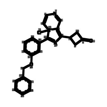 O=C1CC(C2=C3C=NC=C[N+]3(Cl)C(c3cccc(OCc4ccccc4)c3)=N2)C1